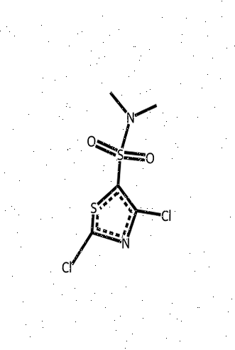 CN(C)S(=O)(=O)c1sc(Cl)nc1Cl